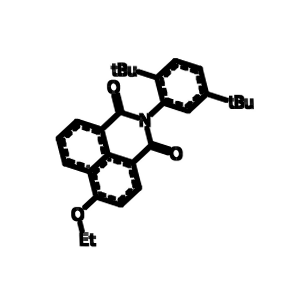 CCOc1ccc2c3c(cccc13)C(=O)N(c1cc(C(C)(C)C)ccc1C(C)(C)C)C2=O